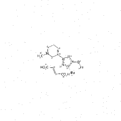 CCOc1oc(C2=CCCN(C)C2)nc1[C@@H](C)CC.O=C(O)C=CC(=O)O